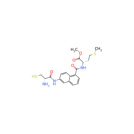 COC(=O)[C@H](CCSC)NC(=O)c1cccc2cc(NC(=O)[C@H](N)CS)ccc12